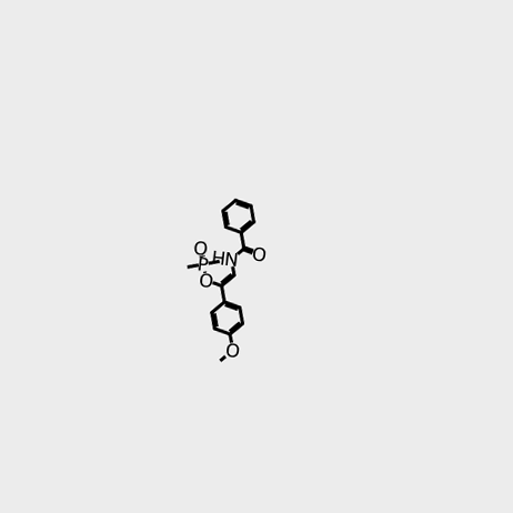 COc1ccc(C(=CNC(=O)c2ccccc2)OP(C)(C)=O)cc1